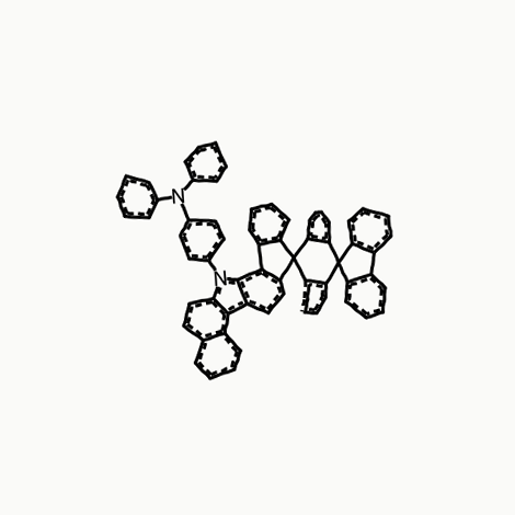 c1ccc(N(c2ccccc2)c2ccc(-n3c4ccc5ccccc5c4c4ccc5c(c43)-c3ccccc3C53c4ccccc4C4(c5ccccc5-c5ccccc54)c4ccccc43)cc2)cc1